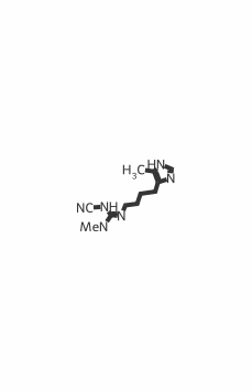 CNC(=NCCCCc1nc[nH]c1C)NC#N